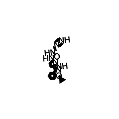 O=C(NCCN1CCNCC1)Nc1ccc2c(-c3ccccc3OC3CC3)n[nH]c2n1